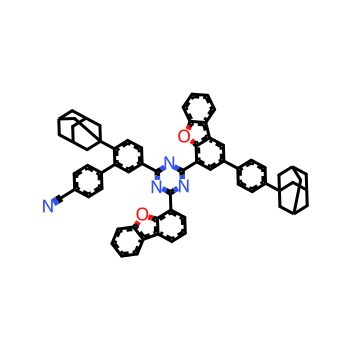 N#Cc1ccc(-c2cc(-c3nc(-c4cccc5c4oc4ccccc45)nc(-c4cc(-c5ccc(C67CC8CC(CC(C8)C6)C7)cc5)cc5c4oc4ccccc45)n3)ccc2C23CC4CC(CC(C4)C2)C3)cc1